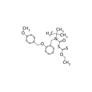 CCOC(=S)SC(=O)N(Cc1ccccc1OCc1ccc(OC)cc1)C(C)(C)C